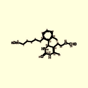 CCCCCCCCCCCCCCCc1cccc(C)c1C1NC(=O)NC(C)=C1CCOC=O